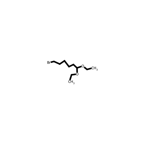 CCOC(CCCCCBr)OCC